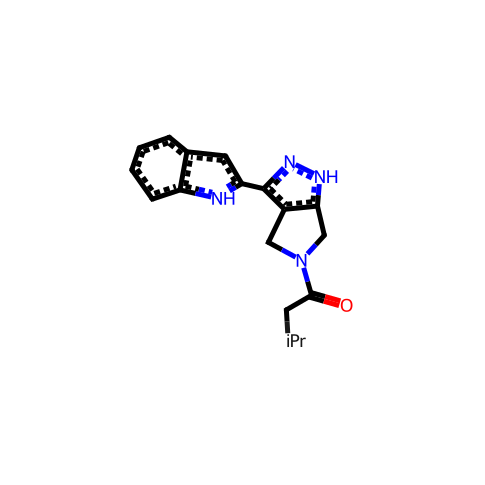 CC(C)CC(=O)N1Cc2[nH]nc(-c3cc4ccccc4[nH]3)c2C1